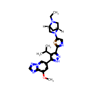 CCN1C[C@H]2C[C@@H]1CN2c1cnc(-c2n[nH]c(-c3cc(OC)c4ncnn4c3)c2C(C)C)s1